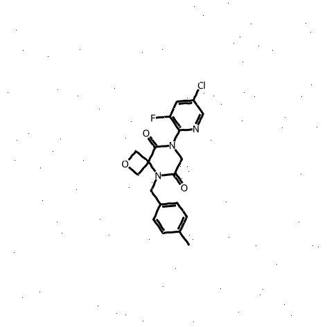 Cc1ccc(CN2C(=O)CN(c3ncc(Cl)cc3F)C(=O)C23COC3)cc1